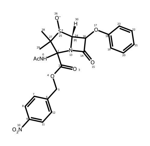 CC(=O)NC1(C(=O)OCc2ccc([N+](=O)[O-])cc2)N2C(=O)C(Oc3ccccc3)[C@H]2[S+]([O-])C1(C)C